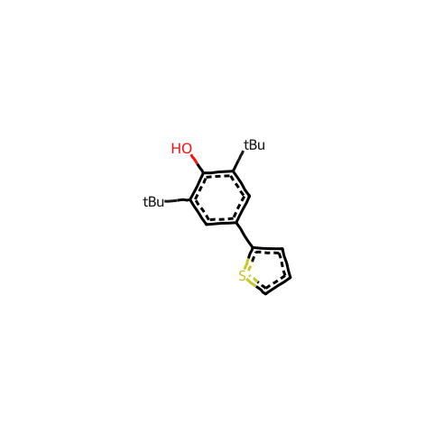 CC(C)(C)c1cc(-c2cccs2)cc(C(C)(C)C)c1O